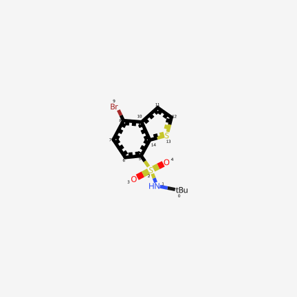 CC(C)(C)NS(=O)(=O)c1ccc(Br)c2ccsc12